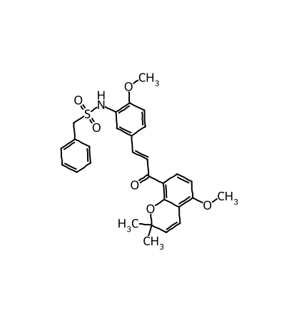 COc1ccc(C=CC(=O)c2ccc(OC)c3c2OC(C)(C)C=C3)cc1NS(=O)(=O)Cc1ccccc1